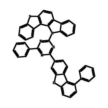 c1ccc(-c2nc(-c3ccc4c(c3)oc3cccc(-c5ccccc5)c34)nc(-n3c4ccccc4c4ccc5sc6ccccc6c5c43)n2)cc1